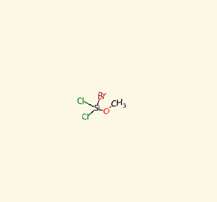 CO[Si](Cl)(Cl)Br